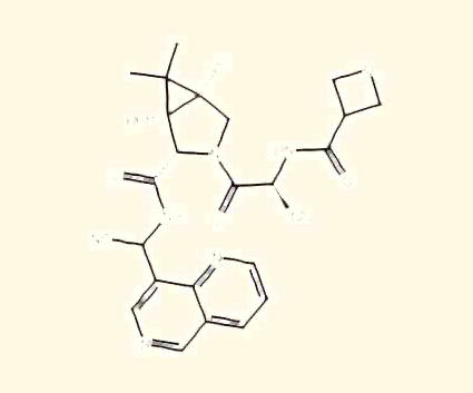 CC(C)(C)[C@H](NC(=O)C1COC1)C(=O)N1C[C@H]2[C@@H]([C@H]1C(=O)NC(C#N)c1cncc3cccnc13)C2(C)C